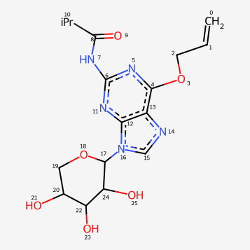 C=CCOc1nc(NC(=O)C(C)C)nc2c1ncn2C1OCC(O)C(O)C1O